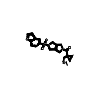 NCC1(C(=O)N2CC3=C(C2)CN(S(=O)(=O)c2ccc4occc4c2)C3)CC1